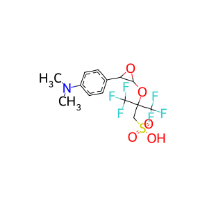 CN(C)c1ccc(C2OC2OC(CS(=O)(=O)O)(C(F)(F)F)C(F)(F)F)cc1